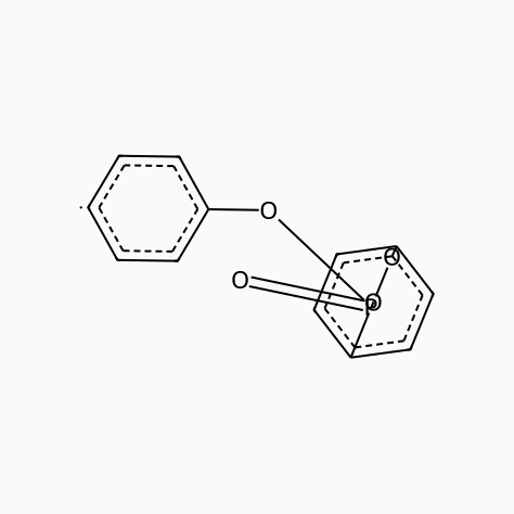 O=P1(Oc2cc[c]cc2)Oc2ccc(cc2)O1